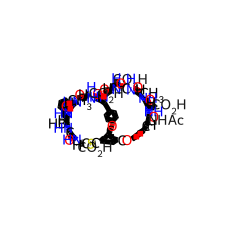 B=C1NCC(=O)N[C@H](C(=O)O)CSCc2cc3cc(c2)COc2ccc(cc2)C[C@H](NC(=O)[C@H](CCC(=O)O)NC(=O)CNC(=O)[C@H](C)NC(=O)[C@H](CC(=O)O)NC(=O)[C@@H](NC(C)=O)Cc2ccc(cc2)OC3)C(=O)N[C@@H](CC(=O)O)C(=O)N[C@@H](C)C(=O)N[C@H]1Cc1ccccc1